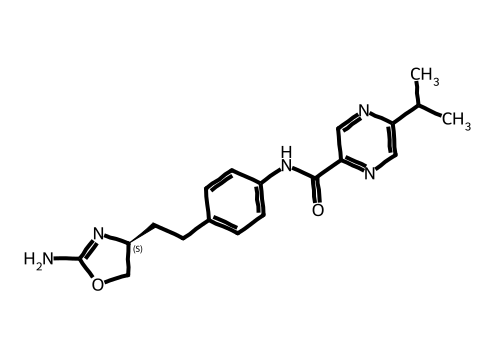 CC(C)c1cnc(C(=O)Nc2ccc(CC[C@H]3COC(N)=N3)cc2)cn1